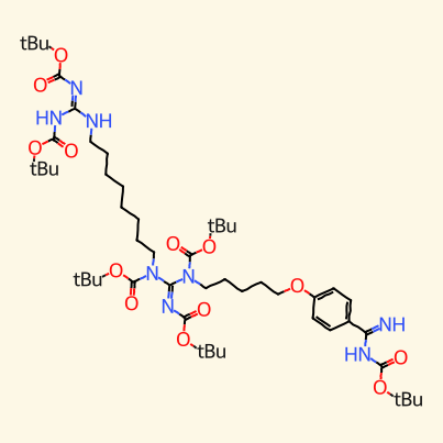 CC(C)(C)OC(=O)/N=C(/NCCCCCCCCN(C(=O)OC(C)(C)C)/C(=N/C(=O)OC(C)(C)C)N(CCCCCOc1ccc(C(=N)NC(=O)OC(C)(C)C)cc1)C(=O)OC(C)(C)C)NC(=O)OC(C)(C)C